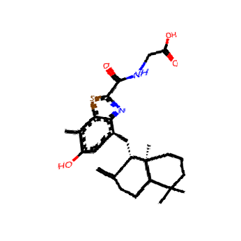 C=C1CCC2C(C)(C)CCC[C@]2(C)[C@H]1Cc1cc(O)c(C)c2sc(C(=O)NCC(=O)O)nc12